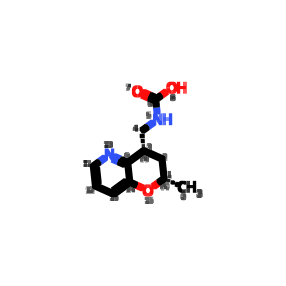 C[C@H]1C[C@@H](CNC(=O)O)c2ncccc2O1